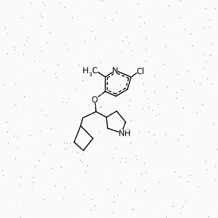 Cc1nc(Cl)ccc1OC(CC1CCC1)C1CCNC1